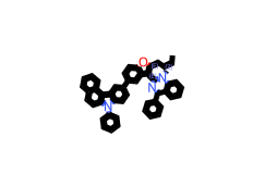 C\C=C/C=c1/oc2ccc(-c3ccc4c(c3)c3c5ccccc5ccc3n4-c3ccccc3)cc2/c1=C1\N=C(c2ccccc2)c2ccccc2N1C